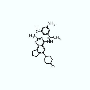 Cc1cc(N)cc([C@@H](C)Nc2nc(C)nc3c4c(c(C5CCC(=O)CC5)cc23)CCC4)c1